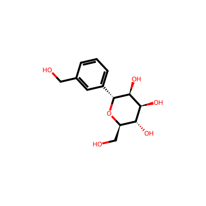 OCc1cccc([C@H]2O[C@H](CO)[C@@H](O)[C@H](O)[C@@H]2O)c1